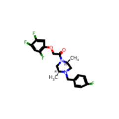 C[C@@H]1CN(C(=O)COc2cc(F)c(F)cc2F)[C@@H](C)CN1Cc1ccc(F)cc1